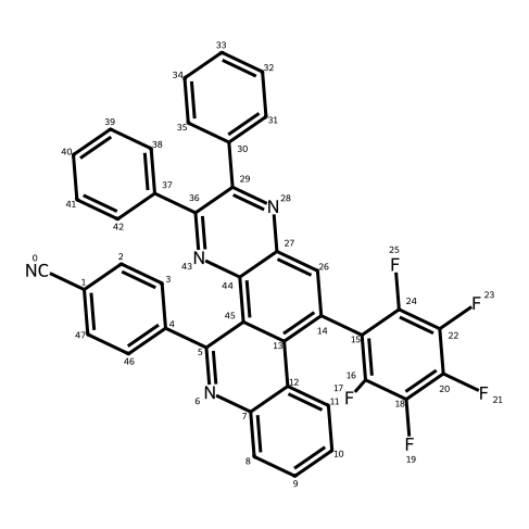 N#Cc1ccc(-c2nc3ccccc3c3c(-c4c(F)c(F)c(F)c(F)c4F)cc4nc(-c5ccccc5)c(-c5ccccc5)nc4c23)cc1